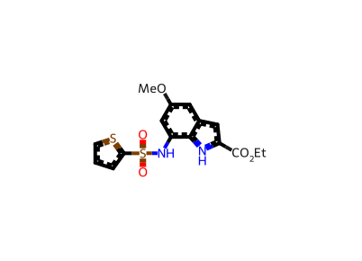 CCOC(=O)c1cc2cc(OC)cc(NS(=O)(=O)c3cccs3)c2[nH]1